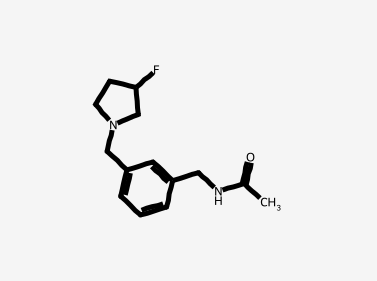 CC(=O)NCc1cccc(CN2CCC(F)C2)c1